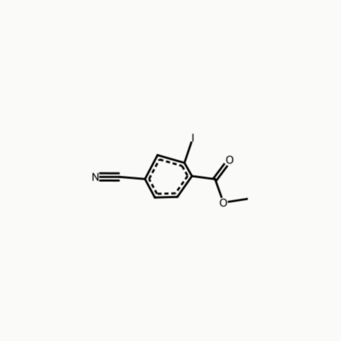 COC(=O)c1ccc(C#N)cc1I